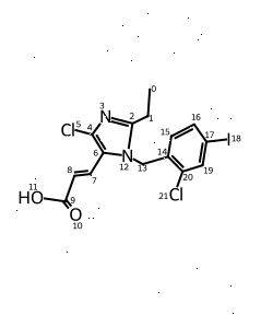 CCc1nc(Cl)c(/C=C/C(=O)O)n1Cc1ccc(I)cc1Cl